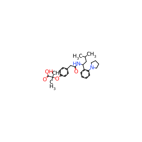 CC(C)CC(NC(=O)Cc1ccc(OC(C)(C)C(=O)O)cc1)c1ccccc1N1CCCC1